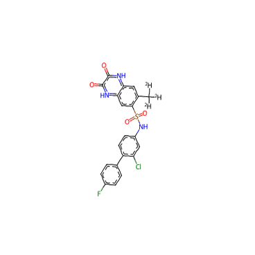 [2H]C([2H])([2H])c1cc2[nH]c(=O)c(=O)[nH]c2cc1S(=O)(=O)Nc1ccc(-c2ccc(F)cc2)c(Cl)c1